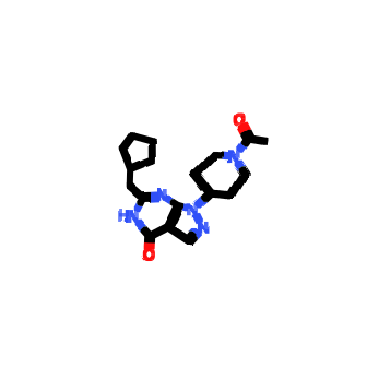 CC(=O)N1CCC(n2ncc3c(=O)[nH]c(CC4CCCC4)nc32)CC1